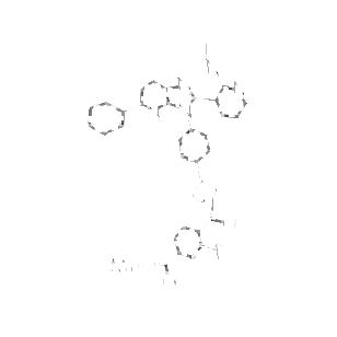 COC(=O)c1ccc(C(=O)N2CC(c3ccc(-n4c(-c5cccnc5N)nc5ccc(-c6ccccc6)nc54)cc3)C2)c(F)c1